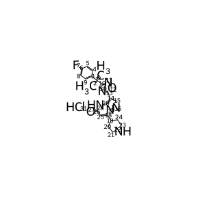 CC(C)(c1ccc(F)cc1)c1noc(-c2cnn3c(C4CCNCC4)cc(=O)[nH]c23)n1.Cl